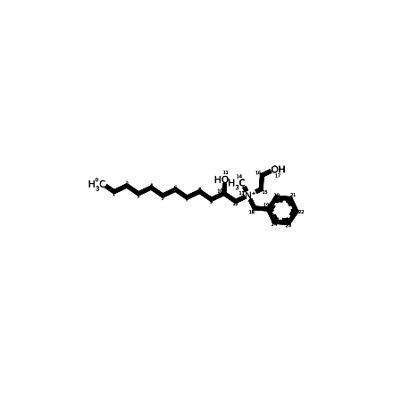 CCCCCCCCCCC(O)C[N+](C)(CCO)Cc1ccccc1